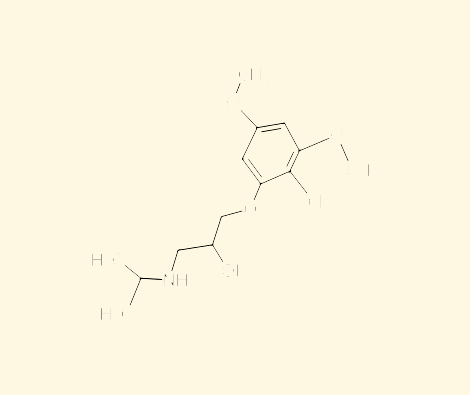 COc1cc(OC)c(Cl)c(OCC(O)CNC(C)C)c1